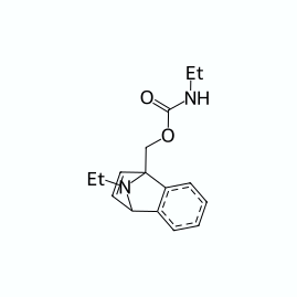 CCNC(=O)OCC12C=CC(c3ccccc31)N2CC